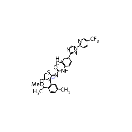 COC(C)c1ccc(C)cc1N1C(=O)CS/C1=N\C(=O)Nc1ccc(-c2ncn(-c3ccc(C(F)(F)F)cn3)n2)cc1C